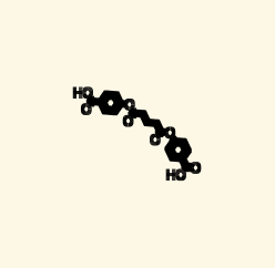 O=C(CCCC(=O)Oc1ccc(C(=O)O)cc1)Oc1ccc(C(=O)O)cc1